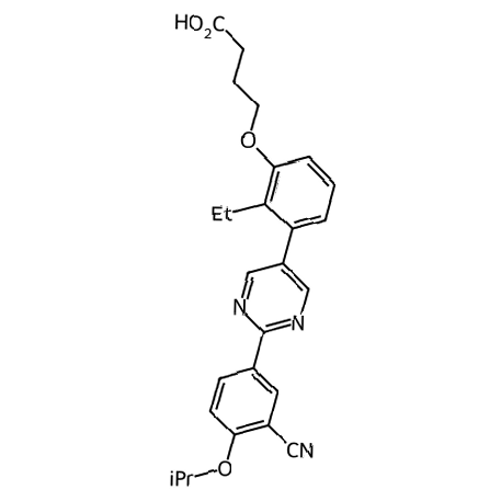 CCc1c(OCCCC(=O)O)cccc1-c1cnc(-c2ccc(OC(C)C)c(C#N)c2)nc1